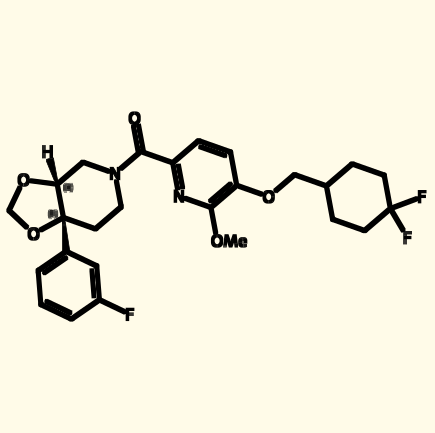 COc1nc(C(=O)N2CC[C@]3(c4cccc(F)c4)OCO[C@@H]3C2)ccc1OCC1CCC(F)(F)CC1